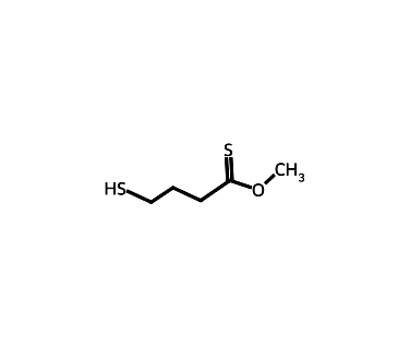 COC(=S)CCCS